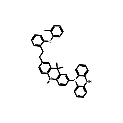 Cc1ccccc1Oc1ccccc1CCc1ccc2c(c1)C(C)(C)c1cc(N3c4ccccc4Nc4ccccc43)ccc1N2I